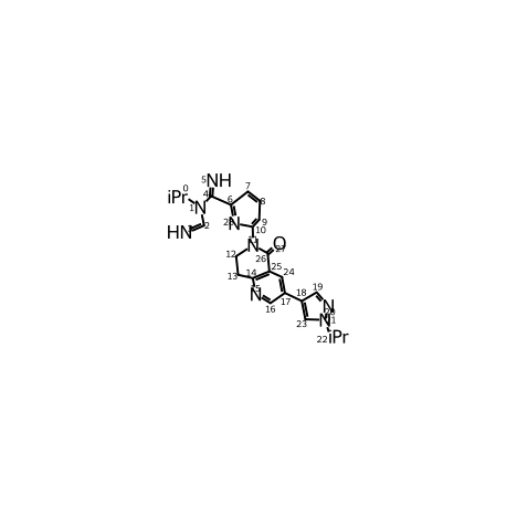 CC(C)N(C=N)C(=N)c1cccc(N2CCc3ncc(-c4cnn(C(C)C)c4)cc3C2=O)n1